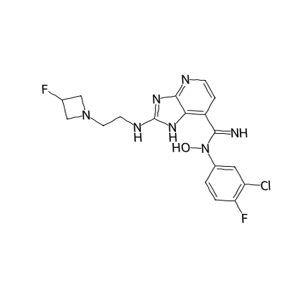 N=C(c1ccnc2nc(NCCN3CC(F)C3)[nH]c12)N(O)c1ccc(F)c(Cl)c1